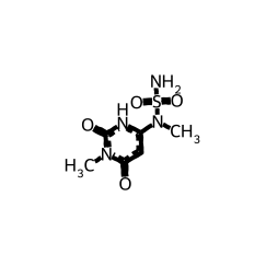 CN(c1cc(=O)n(C)c(=O)[nH]1)S(N)(=O)=O